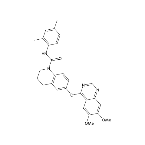 COc1cc2ncnc(Oc3ccc4c(c3)CCCN4C(=O)Nc3ccc(C)cc3C)c2cc1OC